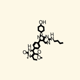 CCCCNc1ncc2c(-c3ccc(C4NC(=O)N(C)C(CC)=C4C(=O)OC)cc3)nn(C3CCC(O)CC3)c2n1